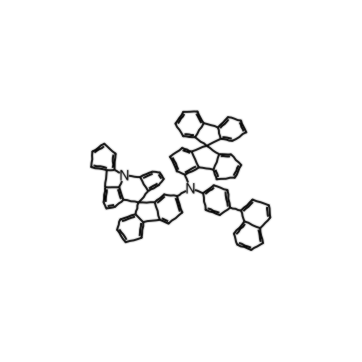 c1ccc2c(c1)-c1ccccc1C21c2ccccc2-c2c(N(c3ccc(-c4cccc5ccccc45)cc3)c3ccc4c(c3)C3(c5ccccc5-4)c4ccccc4-n4c5ccccc5c5cccc3c54)cccc21